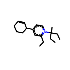 CCc1cc(C2C=CCCC2)cc[n+]1C(C)(CC)CC